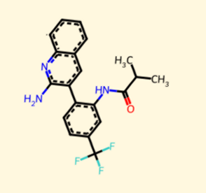 CC(C)C(=O)Nc1cc(C(F)(F)F)ccc1-c1cc2ccc[c]c2nc1N